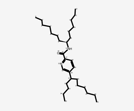 CCCCCCC[C@@H](CCCCCC)NC(=O)c1ccc(C(CCCC)CCCCCC)cn1